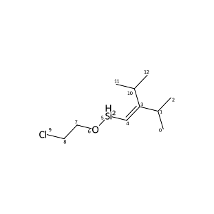 CC(C)C(=C[SiH2]OCCCl)C(C)C